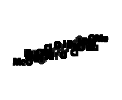 CC[C@H](C)[C@H](NC(=O)OC)C(=O)N1CCC[C@H]1c1nc(Cl)c(-c2cc3c4c(c2)OCc2cc(-c5[nH]c([C@@H]6CCCN6C(O)[C@@H](NC(=O)OC)[C@@H](C)CC)nc5Cl)cc(c2-4)OC3)[nH]1